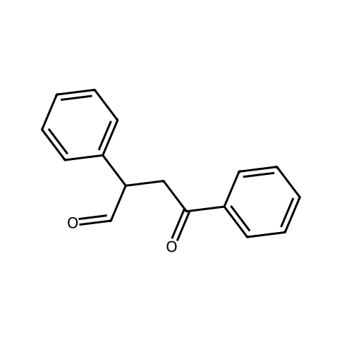 O=CC(CC(=O)c1ccccc1)c1ccccc1